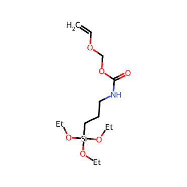 C=COCOC(=O)NCCC[Si](OCC)(OCC)OCC